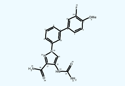 COc1ccc(-c2cccc(-n3cc(NC(N)=O)c(C(N)=O)n3)c2)cc1F